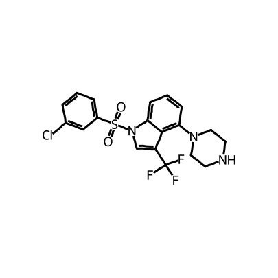 O=S(=O)(c1cccc(Cl)c1)n1cc(C(F)(F)F)c2c(N3CCNCC3)cccc21